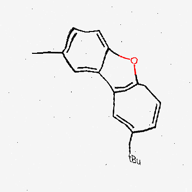 Cc1ccc2oc3ccc(C(C)(C)C)cc3c2c1